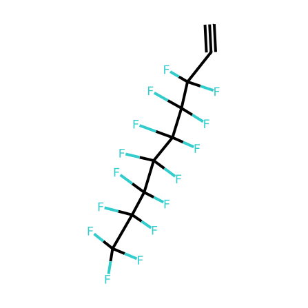 [C]#CC(F)(F)C(F)(F)C(F)(F)C(F)(F)C(F)(F)C(F)(F)C(F)(F)F